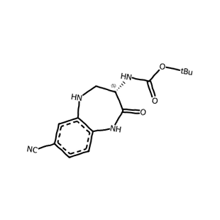 CC(C)(C)OC(=O)N[C@H]1CNc2cc(C#N)ccc2NC1=O